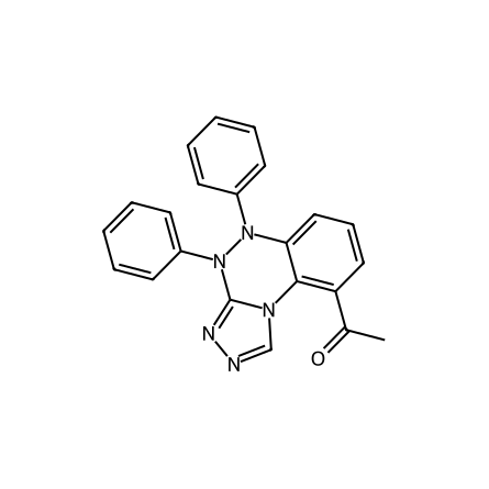 CC(=O)c1cccc2c1-n1cnnc1N(c1ccccc1)N2c1ccccc1